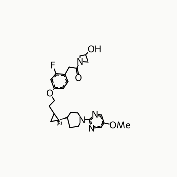 COc1cnc(N2CCC([C@H]3CC3CCOc3ccc(CC(=O)N4CC(O)C4)c(F)c3)CC2)nc1